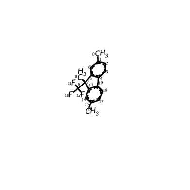 Cc1ccc2c(c1)C(C)(C(F)(F)F)c1cc(C)ccc1-2